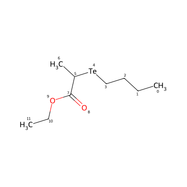 CCCC[Te]C(C)C(=O)OCC